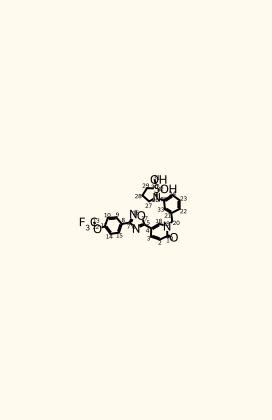 O=c1ccc(-c2nc(-c3ccc(OC(F)(F)F)cc3)no2)cn1Cc1cccc(N2CCCS2(O)O)c1